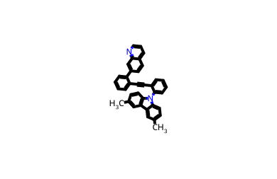 Cc1ccc2c(c1)c1cc(C)ccc1n2-c1ccccc1C#Cc1ccccc1-c1ccc2cccnc2c1